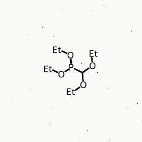 CCOC(OCC)P(OCC)OCC